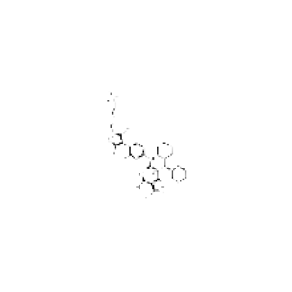 CCc1noc([C@@H](C(=O)Nc2ccc(-c3c(C)nn(COCC[Si](C)(C)C)c3CC)c(F)n2)C(C2CCCCC2)C2CCCCC2)c1C(N)=O